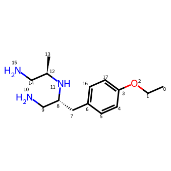 CCOc1ccc(C[C@H](CN)N[C@H](C)CN)cc1